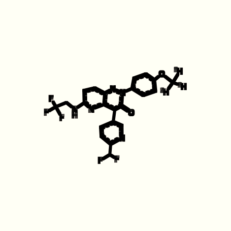 [2H]C([2H])([2H])Oc1ccc(-n2nc3ccc(NCC(F)(F)F)nc3c(-c3ccc(C(F)F)nc3)c2=O)cc1